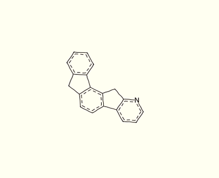 c1ccc2c(c1)Cc1ccc3c(c1-2)Cc1ncccc1-3